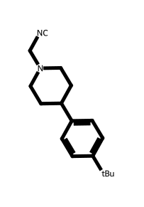 [C-]#[N+]CN1CCC(c2ccc(C(C)(C)C)cc2)CC1